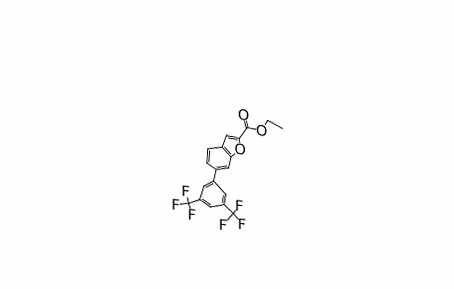 CCOC(=O)c1cc2ccc(-c3cc(C(F)(F)F)cc(C(F)(F)F)c3)cc2o1